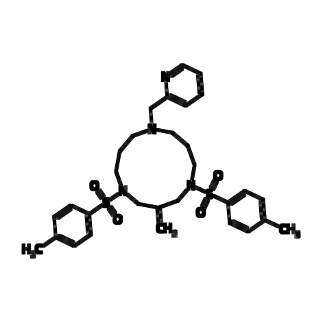 C=C1CN(S(=O)(=O)c2ccc(C)cc2)CCCN(Cc2ccccn2)CCCN(S(=O)(=O)c2ccc(C)cc2)C1